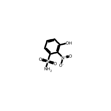 NS(=O)(=O)c1cccc(O)c1[N+](=O)[O-]